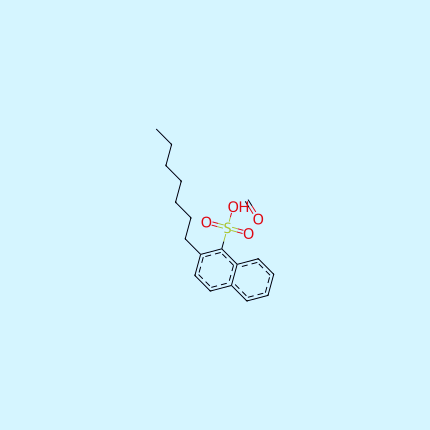 C=O.CCCCCCCc1ccc2ccccc2c1S(=O)(=O)O